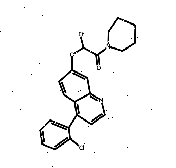 CCC(Oc1ccc2c(-c3ccccc3Cl)ccnc2c1)C(=O)N1CCCCC1